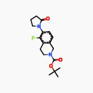 CC(C)(C)OC(=O)N1CCc2c(ccc(N3CCCC3=O)c2F)C1